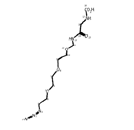 [N-]=[N+]=NCCOCCOCCOCNC(=O)CNC(=O)O